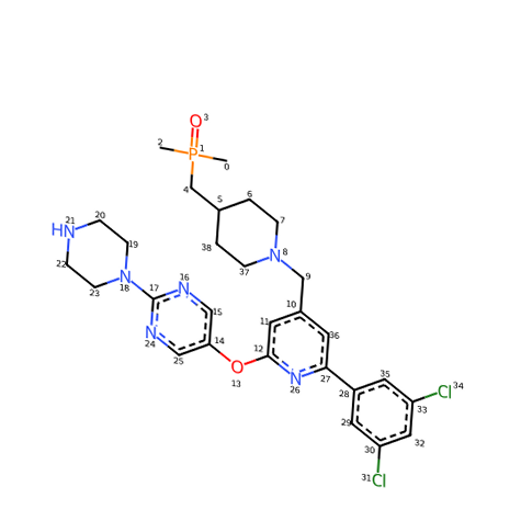 CP(C)(=O)CC1CCN(Cc2cc(Oc3cnc(N4CCNCC4)nc3)nc(-c3cc(Cl)cc(Cl)c3)c2)CC1